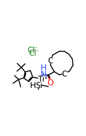 C[SiH](C)[Ti+2]([NH]C(=O)C1CCCCCCCCCCC1)[C]1=CC(C(C)(C)C)=C(C(C)(C)C)C1.[Cl-].[Cl-]